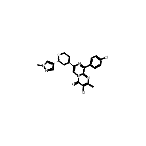 Cc1nc2c(-c3ccc(Cl)cc3)nc([C@@H]3CCO[C@@H](c4cnn(C)c4)C3)cn2c(=O)c1Cl